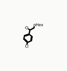 CCCCCCCC([O])c1ccc(Cl)cc1